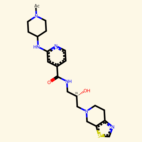 CC(=O)N1CCC(Nc2cc(C(=O)NC[C@H](O)CN3CCc4ncsc4C3)ccn2)CC1